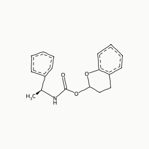 C[C@H](NC(=O)OC1CCc2ccccc2O1)c1ccccc1